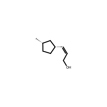 C[C@H]1CC[C@@H](/C=C\CO)C1